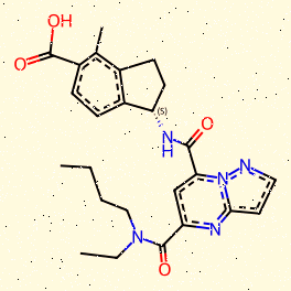 CCCCN(CC)C(=O)c1cc(C(=O)N[C@H]2CCc3c2ccc(C(=O)O)c3C)n2nccc2n1